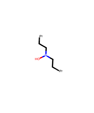 CC(C)CCN(O)CCC(C)C